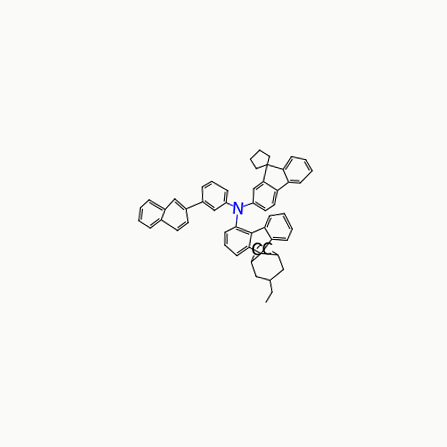 CCC1CC2CCCC(C1)C21c2ccccc2-c2c(N(c3cccc(-c4ccc5ccccc5c4)c3)c3ccc4c(c3)C3(CCCC3)c3ccccc3-4)cccc21